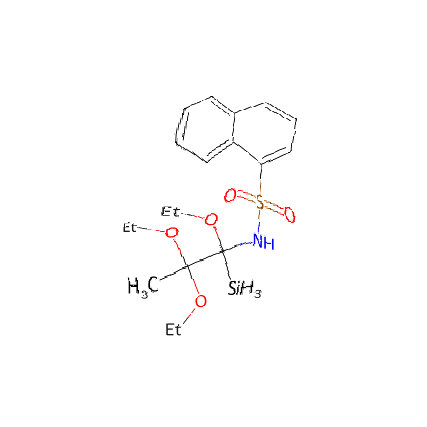 CCOC([SiH3])(NS(=O)(=O)c1cccc2ccccc12)C(C)(OCC)OCC